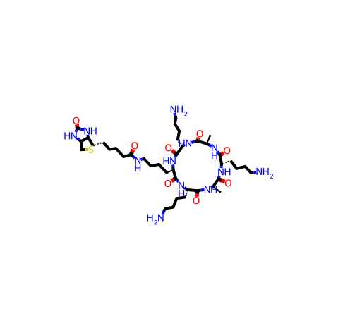 C[C@H]1NC(=O)[C@H](CCCCN)NC(=O)[C@@H](CCCCNC(=O)CCCC[C@@H]2SCC3NC(=O)NC32)NC(=O)[C@H](CCCCN)NC(=O)[C@@H](C)NC(=O)[C@H](CCCCN)NC1=O